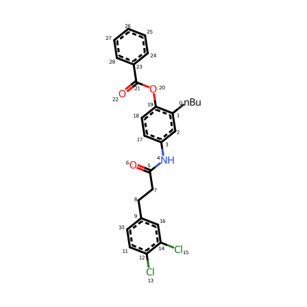 CCCCc1cc(NC(=O)CCc2ccc(Cl)c(Cl)c2)ccc1OC(=O)c1ccccc1